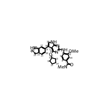 CNC(=O)c1ccc(Nc2nc(OC3CCCC3)c3c(-c4ccc5cn[nH]c5c4)c[nH]c3n2)c(OC)c1